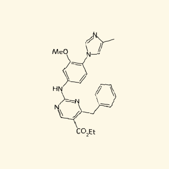 CCOC(=O)c1cnc(Nc2ccc(-n3cnc(C)c3)c(OC)c2)nc1Cc1ccccc1